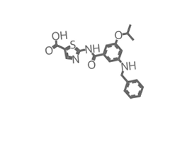 CC(C)Oc1cc(NCc2ccccc2)cc(C(=O)Nc2ncc(C(=O)O)s2)c1